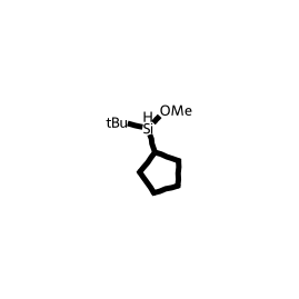 CO[SiH](C1CCCC1)C(C)(C)C